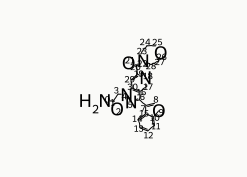 NC(=O)Cn1nc(-c2coc3ccccc23)c2cnc(C(=O)N3CCCOCC3)cc21